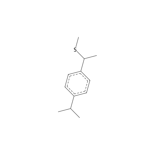 CSC(C)c1ccc(C(C)C)cc1